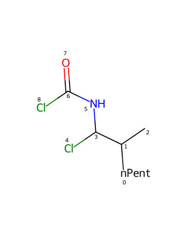 CCCCCC(C)C(Cl)NC(=O)Cl